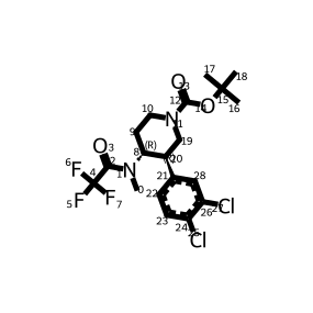 CN(C(=O)C(F)(F)F)[C@@H]1CCN(C(=O)OC(C)(C)C)C[C@H]1c1ccc(Cl)c(Cl)c1